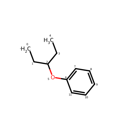 [CH2]CC(CC)Oc1ccccc1